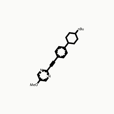 CCCCC1CCC(c2ccc(C#Cc3ncc(OC)cn3)cc2)CC1